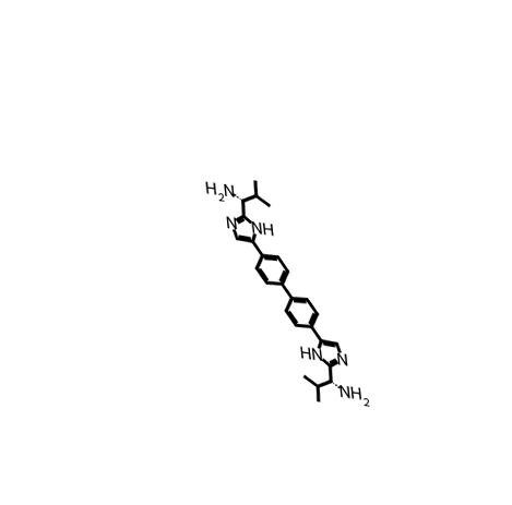 CC(C)[C@@H](N)c1ncc(-c2ccc(-c3ccc(-c4cnc([C@H](N)C(C)C)[nH]4)cc3)cc2)[nH]1